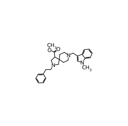 COC(=O)C1CN(CCc2ccccc2)CC12CCN(Cc1cn(C)c3ccccc13)CC2